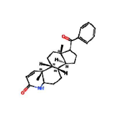 C[C@]12C=CC(=O)NC1CC[C@@H]1[C@H]2CC[C@]2(C)C(C(=O)c3ccccc3)CC[C@@H]12